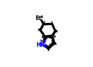 CCC1CCc2cc[nH]c2C1